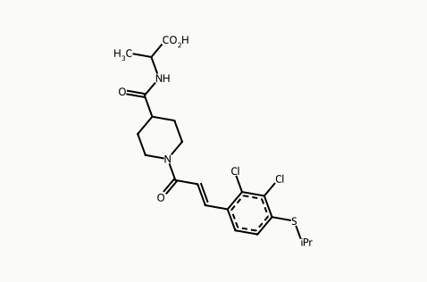 CC(C)Sc1ccc(/C=C/C(=O)N2CCC(C(=O)NC(C)C(=O)O)CC2)c(Cl)c1Cl